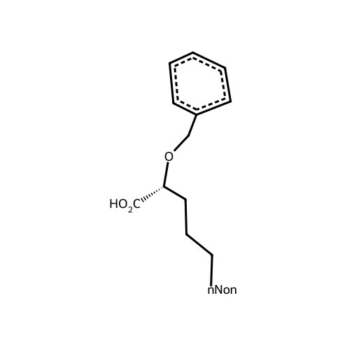 CCCCCCCCCCCC[C@@H](OCc1ccccc1)C(=O)O